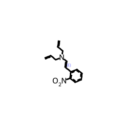 C=CCN(/C=C/c1ccccc1[N+](=O)[O-])CC=C